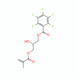 C=C(C)C(=O)OCC(O)COC(=O)c1c(F)c(F)c(F)c(F)c1F